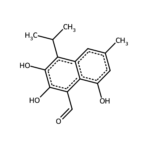 Cc1cc(O)c2c(C=O)c(O)c(O)c(C(C)C)c2c1